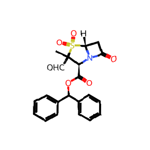 CC1(C=O)[C@H](C(=O)OC(c2ccccc2)c2ccccc2)N2C(=O)C[C@H]2S1(=O)=O